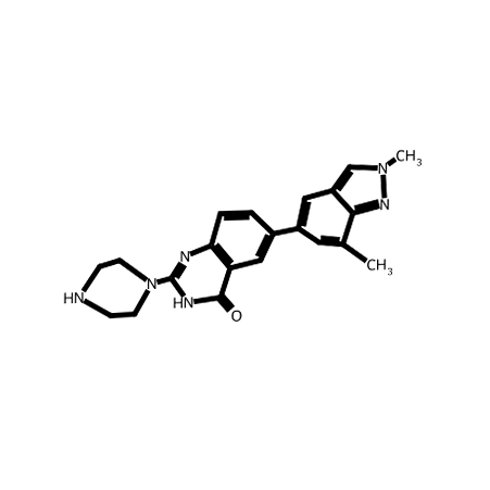 Cc1cc(-c2ccc3nc(N4CCNCC4)[nH]c(=O)c3c2)cc2cn(C)nc12